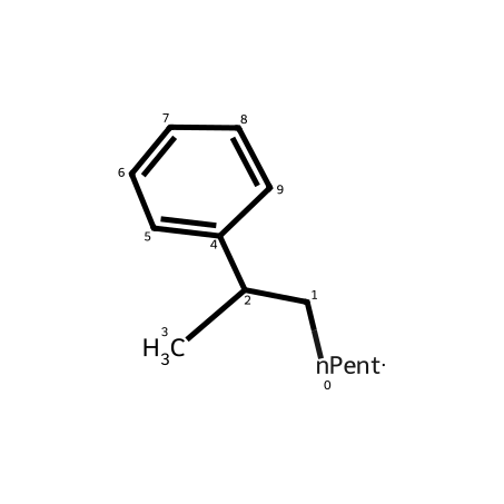 CCCC[CH]CC(C)c1ccccc1